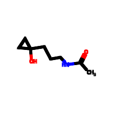 CC(=O)NCCCC1(O)CC1